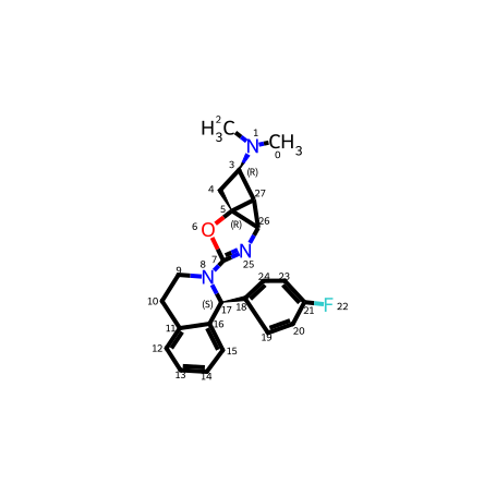 CN(C)[C@@H]1C[C@]23OC(N4CCc5ccccc5[C@@H]4c4ccc(F)cc4)=NC2C13